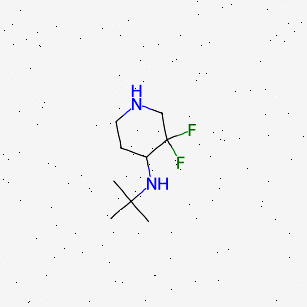 CC(C)(C)NC1CCNCC1(F)F